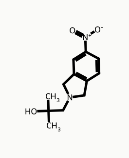 CC(C)(O)CN1Cc2ccc([N+](=O)[O-])cc2C1